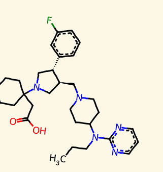 CCCN(c1ncccn1)C1CCN(C[C@H]2CN(C3(CC(=O)O)CCCCC3)C[C@@H]2c2cccc(F)c2)CC1